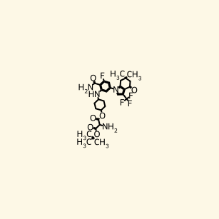 CC1(C)CC(=O)c2c(C(F)(F)F)cn(-c3cc(F)c(C(N)=O)c(NC4CCC(OC(=O)C(N)C(=O)OC(C)(C)C)CC4)c3)c2C1